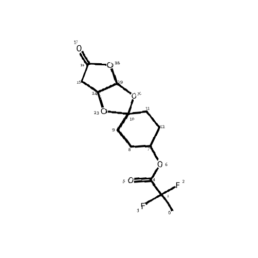 CC(F)(F)C(=O)OC1CCC2(CC1)OC1CC(=O)OC1O2